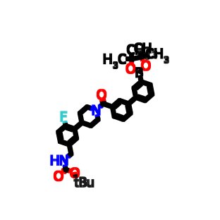 CC(C)(C)OC(=O)NCc1ccc(F)c(C2CCN(C(=O)c3cccc(-c4cccc(B5OC(C)(C)C(C)(C)O5)c4)c3)CC2)c1